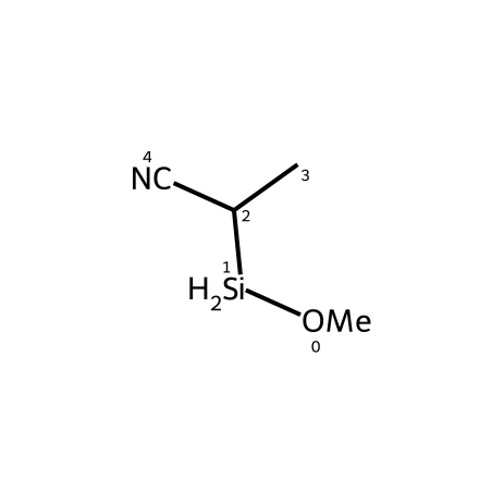 CO[SiH2]C(C)C#N